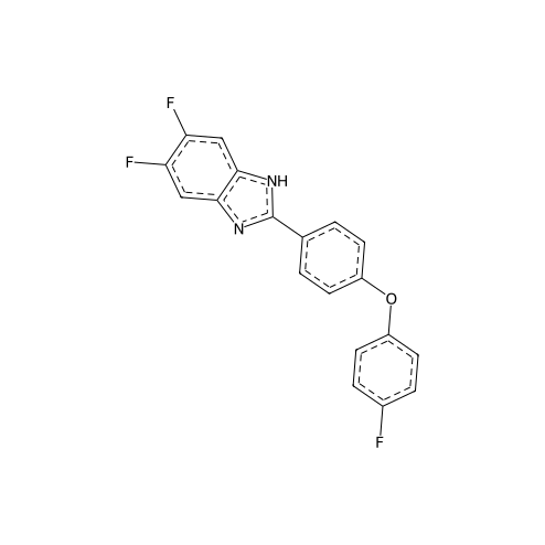 Fc1ccc(Oc2ccc(-c3nc4cc(F)c(F)cc4[nH]3)cc2)cc1